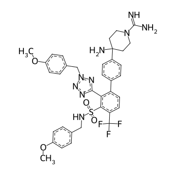 COc1ccc(CNS(=O)(=O)c2c(C(F)(F)F)ccc(-c3ccc(C4(N)CCN(C(=N)N)CC4)cc3)c2-c2nnn(Cc3ccc(OC)cc3)n2)cc1